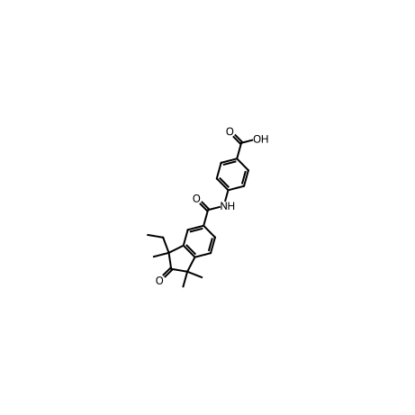 CCC1(C)C(=O)C(C)(C)c2ccc(C(=O)Nc3ccc(C(=O)O)cc3)cc21